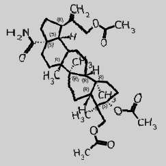 C=C(COC(C)=O)[C@@H]1CC[C@]2(C(N)=O)CC[C@]3(C)C(CC[C@@H]4[C@@]5(C)CC[C@H](OC(C)=O)[C@@](C)(COC(C)=O)[C@@H]5CC[C@]43C)[C@@H]12